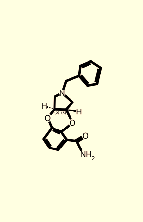 NC(=O)c1cccc2c1O[C@H]1CN(Cc3ccccc3)C[C@@H]1O2